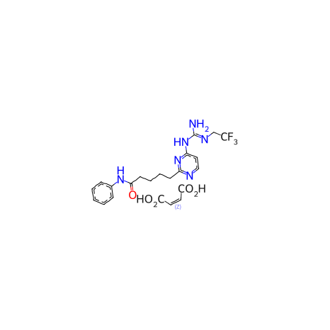 NC(=NCC(F)(F)F)Nc1ccnc(CCCCC(=O)Nc2ccccc2)n1.O=C(O)/C=C\C(=O)O